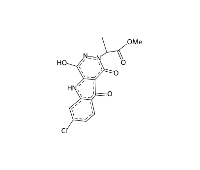 COC(=O)C(C)n1nc(O)c2[nH]c3cc(Cl)ccc3c(=O)c2c1=O